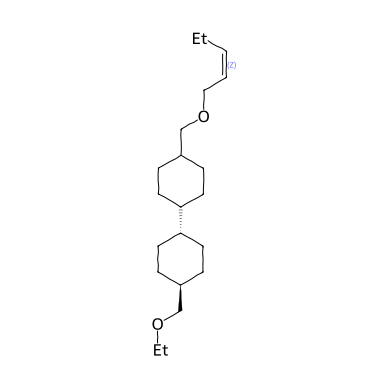 CC/C=C\COCC1CCC([C@H]2CC[C@H](COCC)CC2)CC1